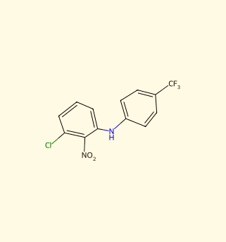 O=[N+]([O-])c1c(Cl)cccc1Nc1ccc(C(F)(F)F)cc1